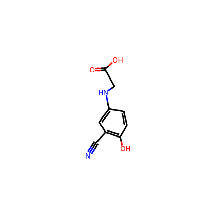 N#Cc1cc(NCC(=O)O)ccc1O